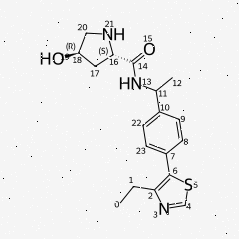 CCc1ncsc1-c1ccc(C(C)NC(=O)[C@@H]2C[C@@H](O)CN2)cc1